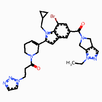 CCn1ncc2c1CN(C(=O)c1cc(Br)c3c(c1)cc(C1=CCCN(C(=O)CCn4ccnn4)C1)n3CC1CC1)C2